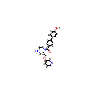 COc1ccc(-c2ccc(C(=O)N3CCNCC3COc3cccnc3)cc2)cc1